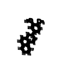 COc1ccc(C2C=Cc3c(ccc4ccccc34)C2)cc1OC